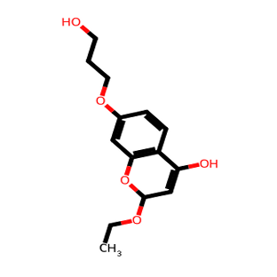 CCOC1C=C(O)c2ccc(OCCCO)cc2O1